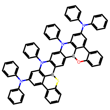 c1ccc(N(c2ccccc2)c2cc3c4c(c2)N(c2ccccc2)c2cc5c(cc2B4Oc2ccccc2-3)B2Sc3ccccc3-c3cc(N(c4ccccc4)c4ccccc4)cc(c32)N5c2ccccc2)cc1